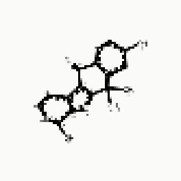 CC1(C)c2cc(O)ccc2C(=O)c2c1oc1c(O)nccc21